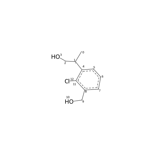 C[C](CO)c1cccc(CO)c1Cl